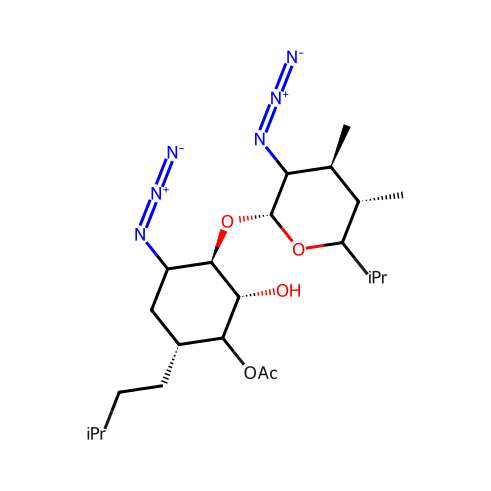 CC(=O)OC1[C@H](CCC(C)C)CC(N=[N+]=[N-])[C@@H](O[C@H]2OC(C(C)C)[C@@H](C)[C@H](C)C2N=[N+]=[N-])[C@@H]1O